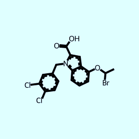 CC(Br)Oc1cccc2c1cc(C(=O)O)n2Cc1ccc(Cl)c(Cl)c1